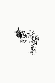 COC1C(CN2O[C@@H](CO)[C@H]([C@H](C)O)[C@H]2C(=O)N[C@H]2C[C@H]3C[C@@H]([C@@H]2C)C3(C)C)CCCC1c1cc(C(=O)NCCN=C(N(C)C)N(C)C)cc(N(C)C)c1